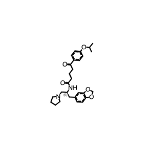 CC(C)Oc1ccc(C(=O)CCCC(=O)N[C@@H](Cc2ccc3c(c2)OCO3)CN2CCCC2)cc1